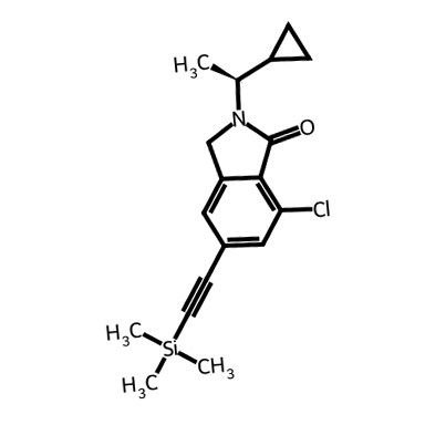 C[C@@H](C1CC1)N1Cc2cc(C#C[Si](C)(C)C)cc(Cl)c2C1=O